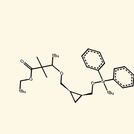 CC(C)(C)COC(=O)C(C)(C)C(OC[C@@H]1C[C@@H]1CO[Si](c1ccccc1)(c1ccccc1)C(C)(C)C)C(C)(C)C